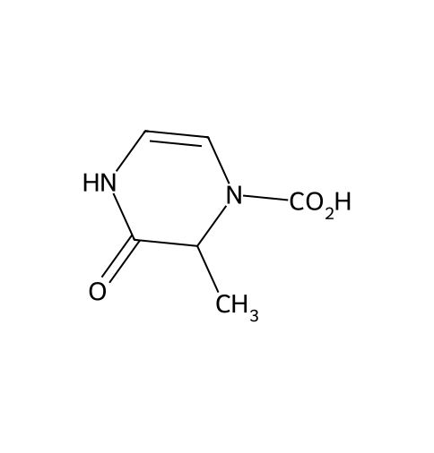 CC1C(=O)NC=CN1C(=O)O